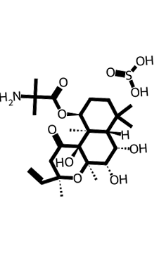 C=C[C@@]1(C)CC(=O)[C@]2(O)[C@@]3(C)[C@@H](OC(=O)C(C)(C)N)CCC(C)(C)[C@@H]3[C@H](O)[C@H](O)[C@@]2(C)O1.O=S(O)O